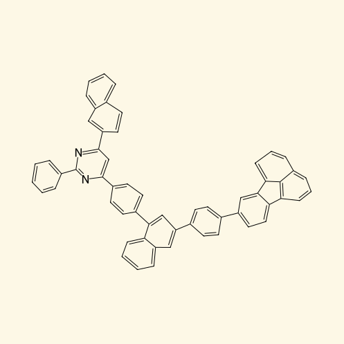 c1ccc(-c2nc(-c3ccc(-c4cc(-c5ccc(-c6ccc7c(c6)-c6cccc8cccc-7c68)cc5)cc5ccccc45)cc3)cc(-c3ccc4ccccc4c3)n2)cc1